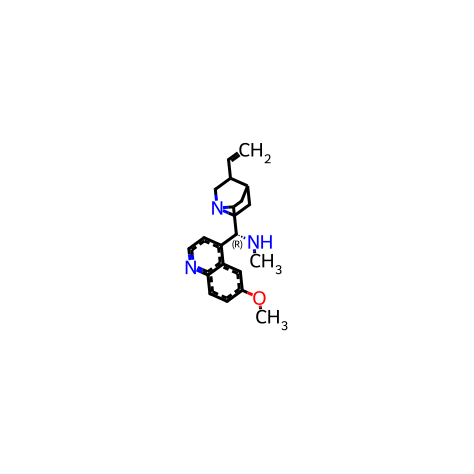 C=CC1CN2CCC1CC2[C@H](NC)c1ccnc2ccc(OC)cc12